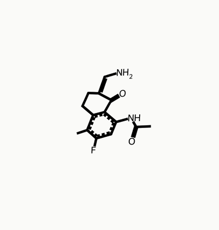 CC(=O)Nc1cc(F)c(C)c2c1C(=O)C(=CN)CC2